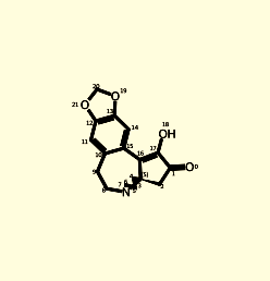 O=C1C[C@]23CCCN2CCc2cc4c(cc2C3=C1O)OCO4